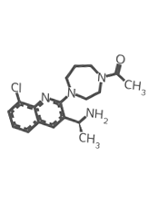 CC(=O)N1CCCN(c2nc3c(Cl)cccc3cc2[C@H](C)N)CC1